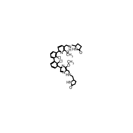 COc1nc(-c2cccc(-c3cccc(-c4cnc(CNCC5CCC(=O)N5)c(OC)n4)c3Cl)c2Cl)ccc1CNCC1CCC(=O)N1